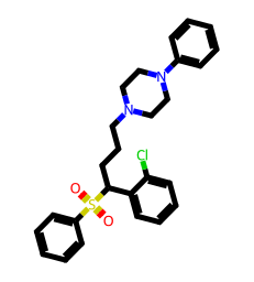 O=S(=O)(c1ccccc1)C(CCCN1CCN(c2ccccc2)CC1)c1ccccc1Cl